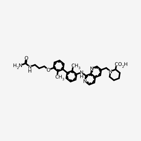 Cc1c(Nc2nccc3cc(CN4CCCCC4C(=O)O)cnc23)cccc1-c1cccc(OCCCNC(N)=O)c1C